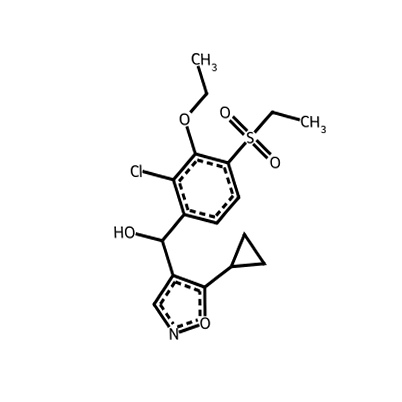 CCOc1c(S(=O)(=O)CC)ccc(C(O)c2cnoc2C2CC2)c1Cl